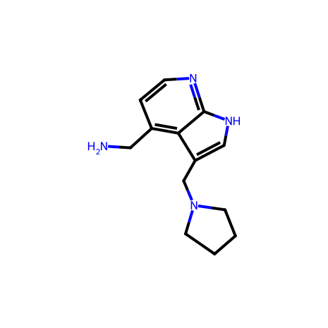 NCc1ccnc2[nH]cc(CN3CCCC3)c12